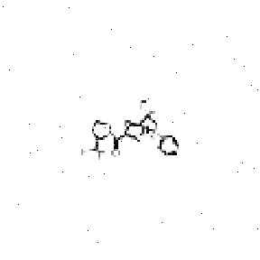 O=C(c1nc2n(n1)[C@@H](c1ccccc1)C[C@H]2F)N1CCCC1C(F)F